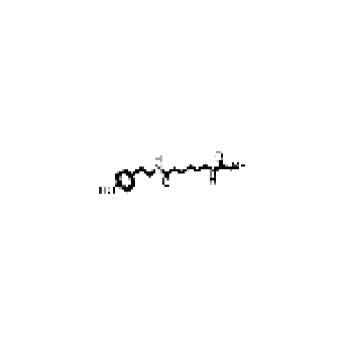 O=C(CO)NCCCCCC(=O)NCCc1ccc(O)cc1